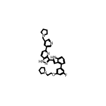 Fc1cc(OCCN2CCCC2)cc(-c2cccc3[nH]c(-c4n[nH]c5ccc(-c6cncc(CN7CCCC7)c6)nc45)cc23)c1